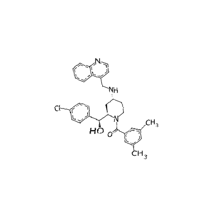 Cc1cc(C)cc(C(=O)N2CC[C@@H](NCc3ccnc4ccccc34)C[C@@H]2[C@@H](O)c2ccc(Cl)cc2)c1